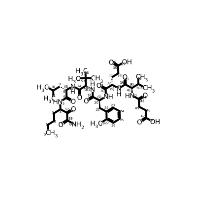 CCCCC(NC(=O)[C@H](CC(C)C)NC(=O)[C@@H](NC(=O)[C@H](Cc1ccccc1C)NC(=O)[C@H](CCC(=O)O)NC(=O)[C@H](NC(=O)CCC(=O)O)C(C)C)C(C)(C)C)C(=O)C(N)=O